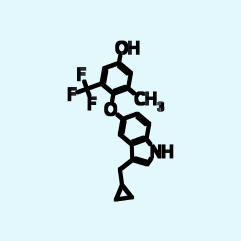 Cc1cc(O)cc(C(F)(F)F)c1Oc1ccc2[nH]cc(CC3CC3)c2c1